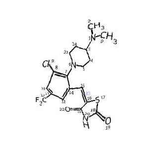 CN(C)C1CCN(c2c(Cl)cc(C(F)(F)F)cc2/C=C2/SC(=O)NC2=O)CC1